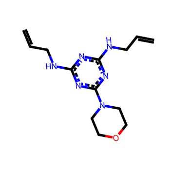 C=CCNc1nc(NCC=C)nc(N2CCOCC2)n1